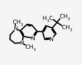 CN1CCCN(C)c2nc(-c3cncc(C(C)(C)C)c3)ccc21